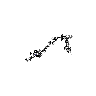 N=N/C1=C(\NCCNCCN)c2ccccc2N(C(=O)CCNC(=O)CCOCCOCCNC(=O)CCN2C(=O)CC(SCCNC(=O)CC[C@H](NC(=O)c3ccc(NCc4cnc5nc(N)[nH]c(=O)c5n4)cc3)C(=O)O)C2=O)Cc2ccccc21